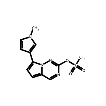 Cn1ccc(-c2ccc3cnc(OS(=O)(=O)C(F)(F)F)nn23)c1